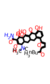 CCCCC(=O)c1ccc(-c2ccc(O)c3c2CC2CC4[C@H](N(C)C)C(O)=C(C(N)=O)C(=O)[C@@]4(O)C(O)=C2C3=O)o1